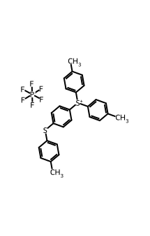 Cc1ccc(Sc2ccc([S+](c3ccc(C)cc3)c3ccc(C)cc3)cc2)cc1.F[P-](F)(F)(F)(F)F